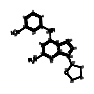 Nc1cccc(Nc2nc(N)nc3c2ncn3C2CCCO2)c1